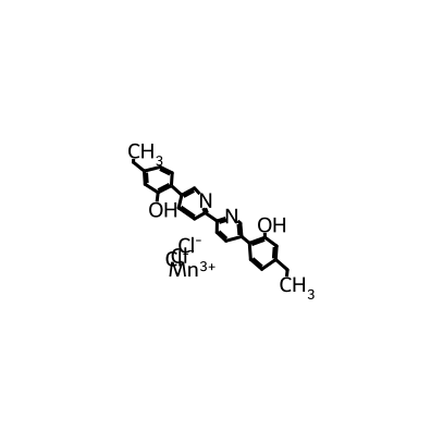 CCc1ccc(-c2ccc(-c3ccc(-c4ccc(CC)cc4O)cn3)nc2)c(O)c1.[Cl-].[Cl-].[Cl-].[Mn+3]